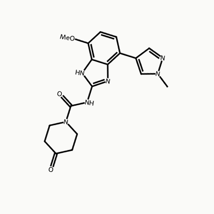 COc1ccc(-c2cnn(C)c2)c2nc(NC(=O)N3CCC(=O)CC3)[nH]c12